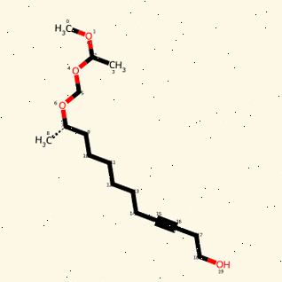 COC(C)OCO[C@@H](C)CCCCCCC#CCCO